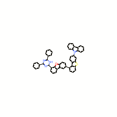 c1ccc(C2=NC(c3cccc4c3oc3ccc(-c5cccc6sc7cc(-n8c9ccccc9c9ccccc98)ccc7c56)cc34)NC(c3ccccc3)=N2)cc1